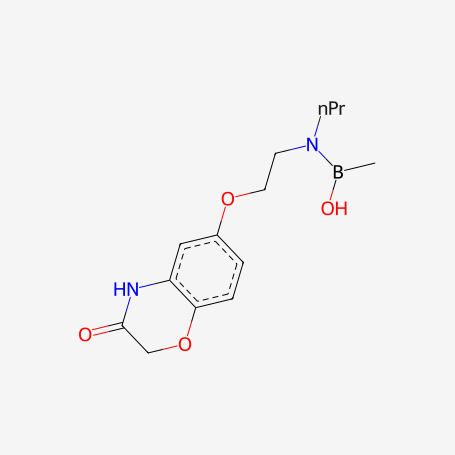 CCCN(CCOc1ccc2c(c1)NC(=O)CO2)B(C)O